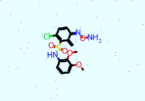 C=C1C(S(=O)(=O)Nc2cccc(OC)c2OC)=C(Cl)C=C/C1=N/ON